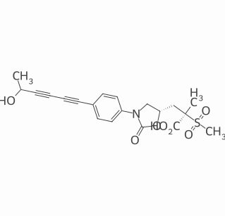 CC(O)C#CC#Cc1ccc(N2C[C@H](C[C@](C)(C(=O)O)S(C)(=O)=O)OC2=O)cc1